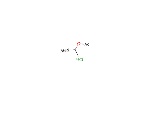 CNC(C)OC(C)=O.Cl